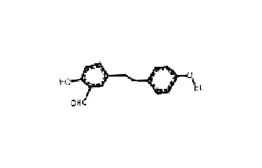 CCOc1ccc(CCc2ccc(O)c(C=O)c2)cc1